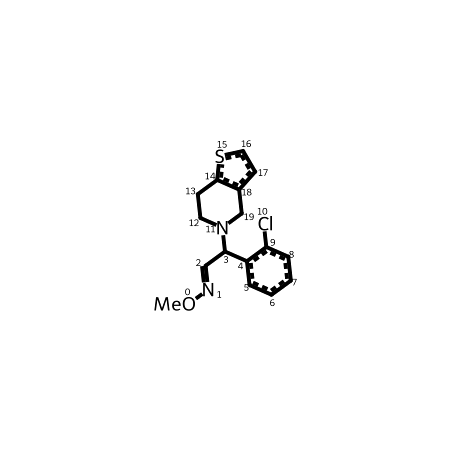 CON=CC(c1ccccc1Cl)N1CCc2sccc2C1